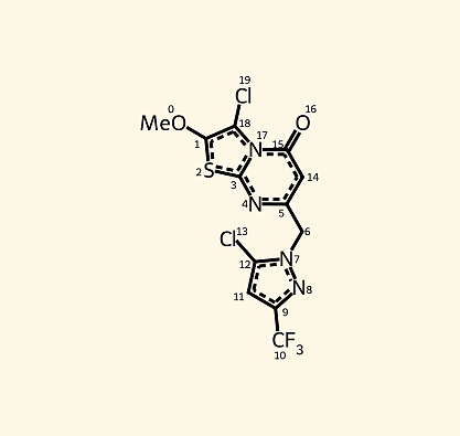 COc1sc2nc(Cn3nc(C(F)(F)F)cc3Cl)cc(=O)n2c1Cl